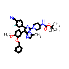 COc1ccc(-c2c(-c3ccc(C#N)c(F)c3)nc(N3CCC(NC(=O)OC(C)(C)C)CC3)n3c(C)cnc23)cc1OCc1ccccc1